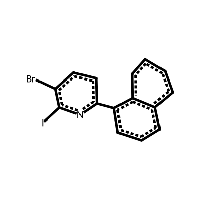 Brc1ccc(-c2cccc3ccccc23)nc1I